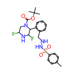 Cc1ccc(S(=O)(=O)NNCc2ccccc2C2C(F)NC(F)CN2C(=O)OC(C)(C)C)cc1